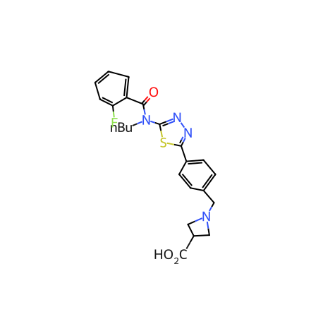 CCCCN(C(=O)c1ccccc1F)c1nnc(-c2ccc(CN3CC(C(=O)O)C3)cc2)s1